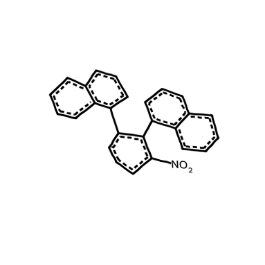 O=[N+]([O-])c1cccc(-c2cccc3ccccc23)c1-c1cccc2ccccc12